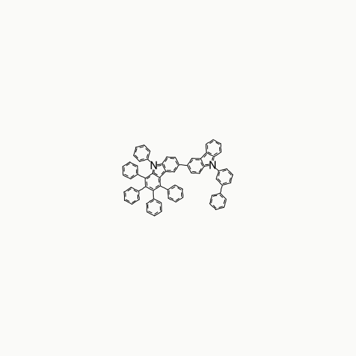 c1ccc(-c2cccc(-n3c4ccccc4c4cc(-c5ccc6c(c5)c5c(-c7ccccc7)c(-c7ccccc7)c(-c7ccccc7)c(-c7ccccc7)c5n6-c5ccccc5)ccc43)c2)cc1